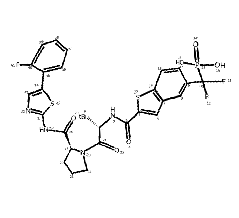 CC(C)(C)[C@H](NC(=O)c1cc2cc(C(F)(F)P(=O)(O)O)ccc2s1)C(=O)N1CCC[C@H]1C(=O)Nc1ncc(-c2ccccc2F)s1